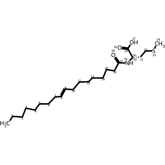 CCCCCCCCC=CCCCCCCCC(=O)N[C@@H](CCSC)C(=O)O